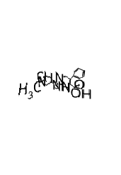 CN(C)CCNc1ncc(-c2ccccc2)c(C(=O)O)n1